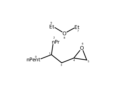 CCCCCC(CCC)CC1CO1.CCOCC